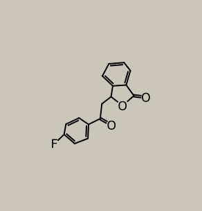 O=C(CC1OC(=O)c2ccccc21)c1ccc(F)cc1